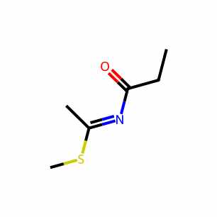 CCC(=O)/N=C(\C)SC